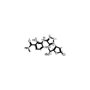 CN(C)C(=O)c1cccc(Nc2nsnc2N[C@@H](c2ccc(Cl)o2)C(C)(C)C)c1O